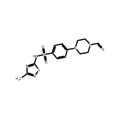 Cc1nsc(NS(=O)(=O)c2ccc(N3CCN(C=O)CC3)cc2)n1